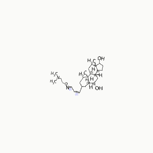 CN(C)CCO/N=C/C=C\C1CC[C@@]2(C)[C@H](C1)[C@@H](O)C[C@@H]1[C@@H]2CC[C@]2(C)C(O)CC[C@@H]12